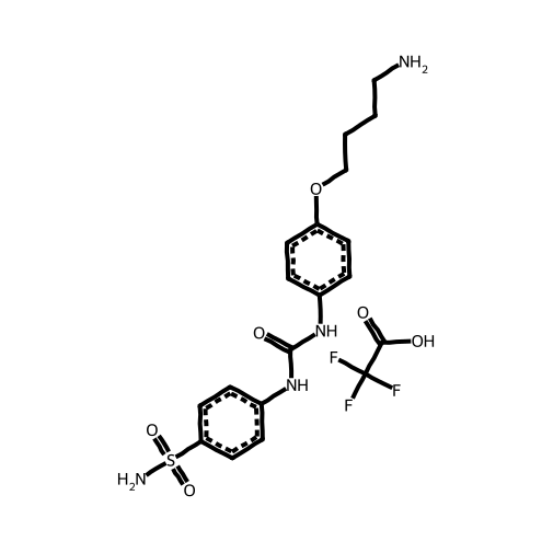 NCCCCOc1ccc(NC(=O)Nc2ccc(S(N)(=O)=O)cc2)cc1.O=C(O)C(F)(F)F